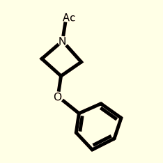 CC(=O)N1CC(Oc2ccccc2)C1